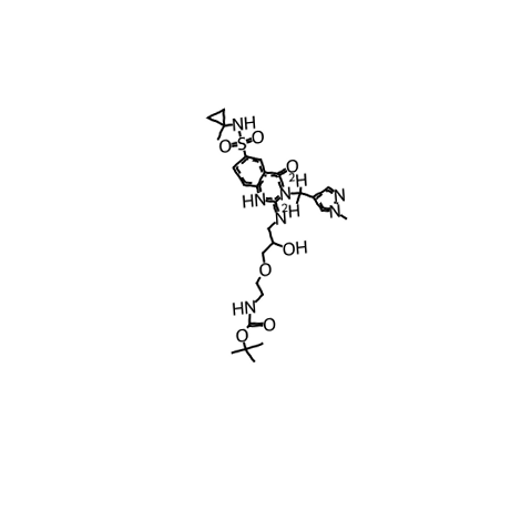 [2H]C([2H])(c1cnn(C)c1)n1c(=O)c2cc(S(=O)(=O)NC3(C)CC3)ccc2[nH]/c1=N\CC(O)COCCNC(=O)OC(C)(C)C